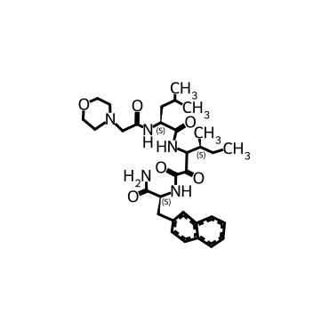 CC[C@H](C)C(NC(=O)[C@H](CC(C)C)NC(=O)CN1CCOCC1)C(=O)C(=O)N[C@@H](Cc1ccc2ccccc2c1)C(N)=O